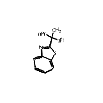 CCCC(C)(CCC)c1nc2ccccc2s1